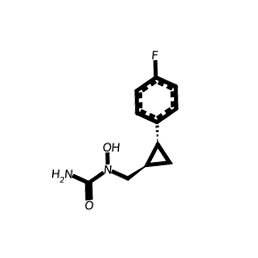 NC(=O)N(O)C[C@@H]1C[C@H]1c1ccc(F)cc1